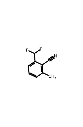 Cc1cccc(C(F)F)c1C#N